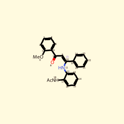 COc1ccccc1C(=O)/C=C(\Nc1ccccc1NC(C)=O)c1ccccc1